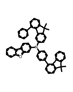 CC1(C)c2ccccc2-c2c(-c3ccc(N(c4ccc5c(c4)-c4c(-c6ccccc6)cccc4C5(C)C)c4ccc5c(c4)oc4ccccc45)cc3)cccc21